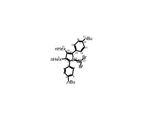 CCCCCCC1=C(c2ccc(CCCC)cc2)[N+](=[N-])C(c2ccc(CCCC)cc2)=C1CCCCCC.[Br][Ni][Br]